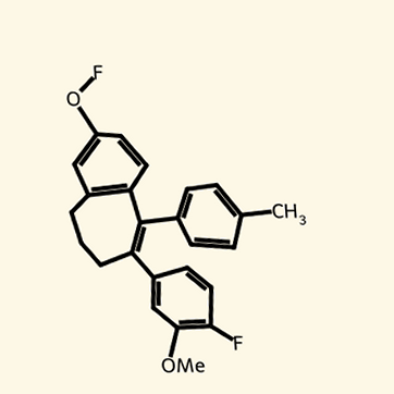 COc1cc(C2=C(c3ccc(C)cc3)c3ccc(OF)cc3CCC2)ccc1F